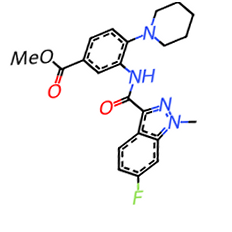 COC(=O)c1ccc(N2CCCCC2)c(NC(=O)c2nn(C)c3cc(F)ccc23)c1